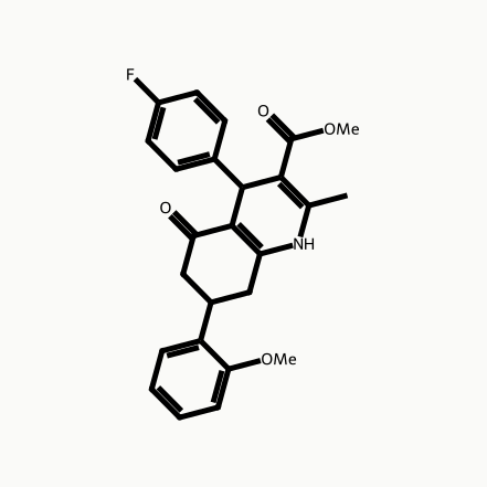 COC(=O)C1=C(C)NC2=C(C(=O)CC(c3ccccc3OC)C2)C1c1ccc(F)cc1